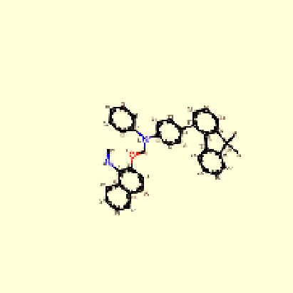 C=Nc1c(OCN(c2ccccc2)c2ccc(-c3cccc4c3-c3ccccc3C4(C)C)cc2)ccc2ccccc12